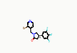 O=C1C[C@H](c2cc(F)c(F)c(F)c2)CN1Cc1ccncc1Br